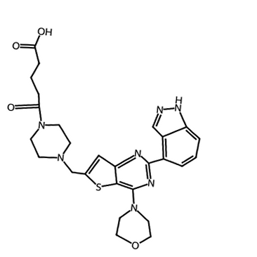 O=C(O)CCCC(=O)N1CCN(Cc2cc3nc(-c4cccc5[nH]ncc45)nc(N4CCOCC4)c3s2)CC1